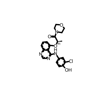 C[C@@H](Oc1cccc2ncnc(Nc3ccc(O)c(Cl)c3)c12)C(=O)N1CCOCC1